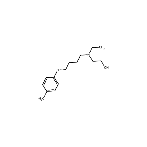 [CH2]c1ccc(OCCCCN(CC)CCO)cc1